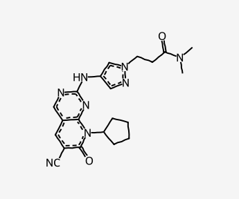 CN(C)C(=O)CCn1cc(Nc2ncc3cc(C#N)c(=O)n(C4CCCC4)c3n2)cn1